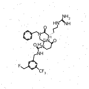 N=C(N)NCCC[C@H]1C(=O)N(Cc2ccccc2)C[C@@H]2N(C(=O)NCc3cc(CF)cc(C(F)(F)F)c3)CCC(=O)N21